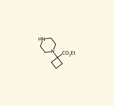 CCOC(=O)C1(N2CCNCC2)CCC1